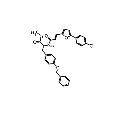 COC(=O)[C@H](Cc1ccc(OCc2ccccc2)cc1)NC(=O)/C=C/c1ccc(-c2ccc(Cl)cc2)o1